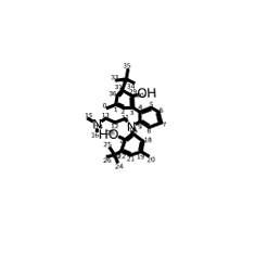 Cc1cc(-c2ccccc2N(CCCN(C)C)c2cc(C)cc(C(C)(C)C)c2O)c(O)c(C(C)(C)C)c1